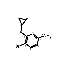 Nc1ccc(Br)c(CC2CC2)n1